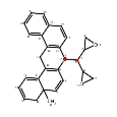 CC12C=CC(OCC3CO3)=C(Cc3c(OCC4CO4)ccc4ccccc34)C1=CC=CC2